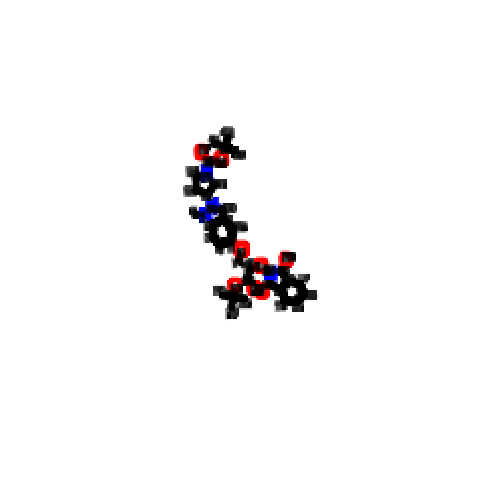 C[n+]1c2ccc(OC[C@H](ON3C(=O)c4ccccc4C3=O)C(=O)OC(C)(C)C)cc2cn1[C@@H]1CCN(C(=O)OC(C)(C)C)C1